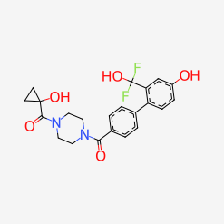 O=C(c1ccc(-c2ccc(O)cc2C(O)(F)F)cc1)N1CCN(C(=O)C2(O)CC2)CC1